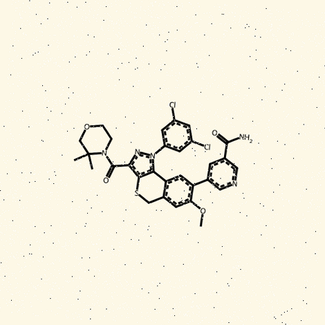 COc1cc2c(cc1-c1cncc(C(N)=O)c1)-c1c(c(C(=O)N3CCOCC3(C)C)nn1-c1cc(Cl)cc(Cl)c1)SC2